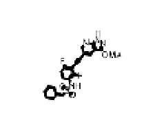 COc1n[nH]c2ncc(C#Cc3c(F)ccc(NS(=O)(=O)Cc4ccccc4)c3F)cc12